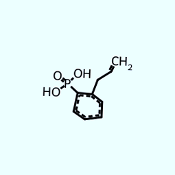 C=CCc1ccccc1P(=O)(O)O